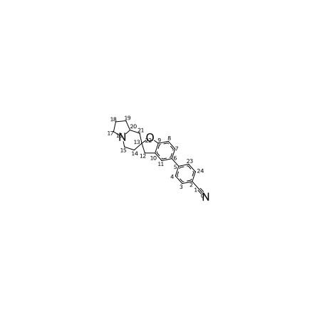 N#Cc1ccc(-c2ccc3c(c2)CC2(CCN4CCCC4C2)O3)cc1